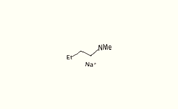 CCCC[N-]C.[Na+]